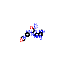 Cn1cnc2c(-c3nc(C(N)=O)c(Nc4ccc(N5CCOCC5)cc4)nc3N)cncc21